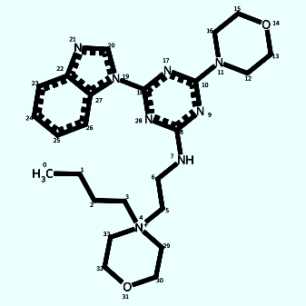 CCCC[N+]1(CCNc2nc(N3CCOCC3)nc(-n3cnc4ccccc43)n2)CCOCC1